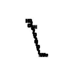 CNCCCOCCOCCOCCCNC(=O)CO